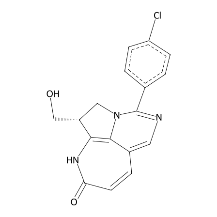 O=C1C=CC2=CN=C(c3ccc(Cl)cc3)N3C[C@@H](CO)C(=C23)N1